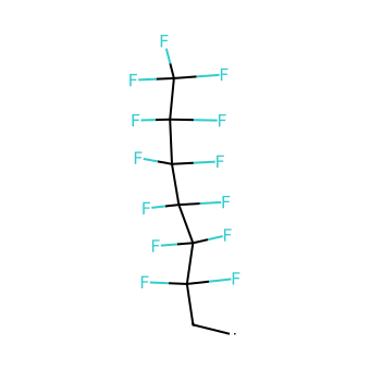 [CH2]CC(F)(F)C(F)(F)C(F)(F)C(F)(F)C(F)(F)C(F)(F)F